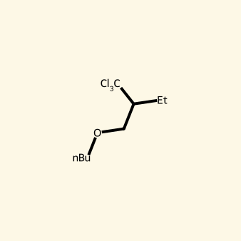 [CH2]CCCOCC(CC)C(Cl)(Cl)Cl